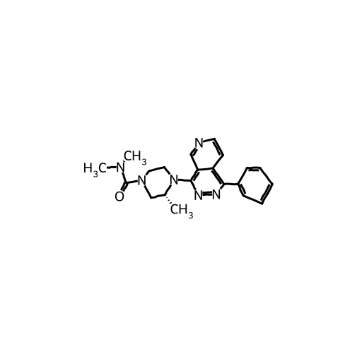 C[C@@H]1CN(C(=O)N(C)C)CCN1c1nnc(-c2ccccc2)c2ccncc12